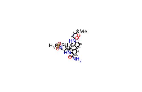 COC(=O)/C=C\C(=O)Nc1cccc(-c2ccc(C(N)=O)c3[nH]c(C4=CCN(S(C)(=O)=O)CC4)cc23)c1C